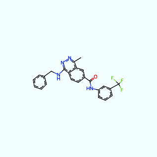 Cc1nnc(NCc2ccccc2)c2ccc(C(=O)Nc3cccc(C(F)(F)F)c3)cc12